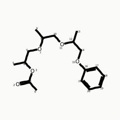 CC(=O)OC(C)COC(C)COC(C)COc1ccccc1